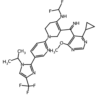 COc1ncnc(C2CC2)c1C(=N)C1=C(NC(F)F)CCN(c2ccc(-c3nc(C(F)(F)F)cn3C(C)C)cn2)C1